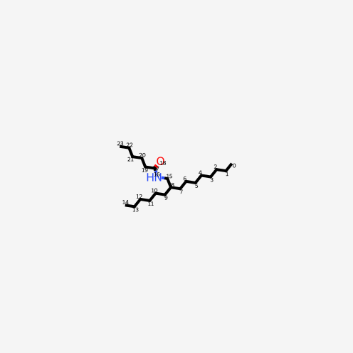 CCCCCCCCC(CCCCCC)CNC(=O)CCCCC